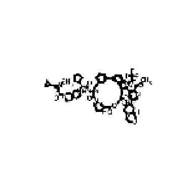 CO[C@@H](C)c1ncc([C@@H]2CCN3CCOC[C@@H]3C2)cc1-c1c2c3cc(ccc3n1CC(F)(F)F)-c1cccc(c1)C[C@H](NC(=O)[C@H](C1CCCC1)N1CC[C@]3(CCN(C(=O)[C@H]4[C@@H](C5CC5)N4C)C3)C1)C(=O)N1CCC[C@H](N1)C(=O)OCC(C)(C)C2